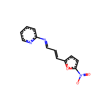 O=[N+]([O-])c1ccc(/C=C/C=N/c2ccccn2)o1